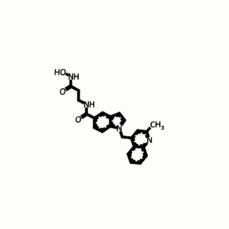 Cc1cc(Cn2ccc3cc(C(=O)NCCC(=O)NO)ccc32)c2ccccc2n1